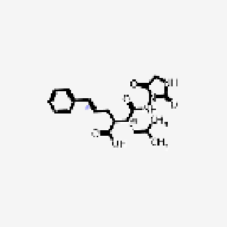 CC(C)C[C@@H](C(=O)NN1C(=O)CNC1=O)C(C/C=C/c1ccccc1)C(=O)O